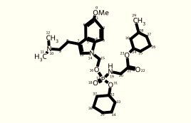 COc1ccc2c(c1)c(CCN(C)C)cn2COP(=O)(NCC(=O)OC1CCCC(C)C1)OC1CCCCC1